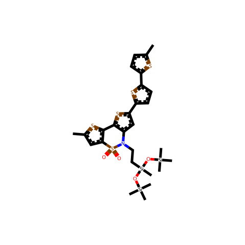 Cc1ccc(-c2ccc(-c3cc4c(s3)-c3sc(C)cc3S(=O)(=O)N4CC[Si](C)(O[Si](C)(C)C)O[Si](C)(C)C)s2)s1